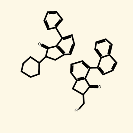 CC(C)CC1Cc2cccc(-c3cccc4ccccc34)c2C1=O.O=C1c2c(cccc2-c2ccccc2)CC1C1CCCCC1